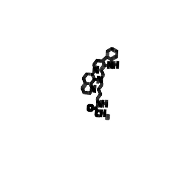 CC(=O)NCCCCN(Cc1nccc2c1[nH]c1ccccc12)C1CCCc2cccnc21